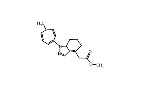 COC(=O)CC1=C2C=NN(C3=CC=CC(C)C=C3)C2CCC1